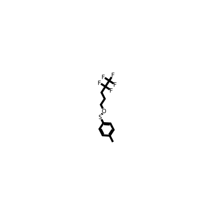 Cc1ccc(SOCCCC(F)(F)C(F)(F)F)cc1